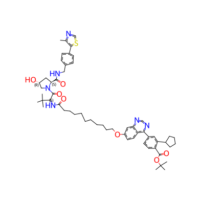 Cc1ncsc1-c1ccc(CNC(=O)[C@@H]2C[C@@H](O)CN2C(=O)[C@@H](NC(=O)CCCCCCCCCCOc2ccc3c(-c4ccc(C(=O)OC(C)(C)C)c(C5CCCC5)c4)ncnc3c2)C(C)(C)C)cc1